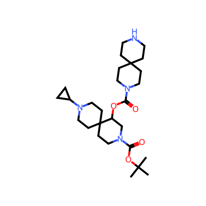 CC(C)(C)OC(=O)N1CCC2(CCN(C3CC3)CC2)C(OC(=O)N2CCC3(CCNCC3)CC2)C1